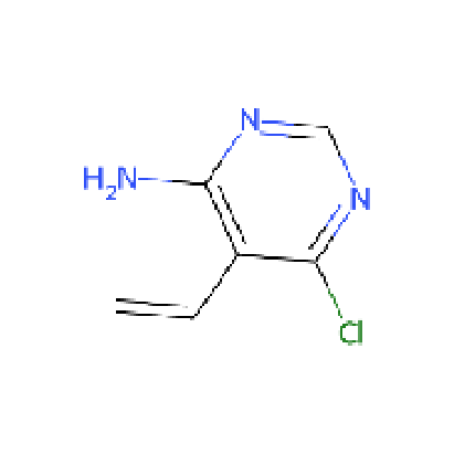 C=Cc1c(N)ncnc1Cl